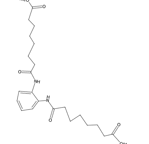 COC(=O)CCCCCCC(=O)Nc1ccccc1NC(=O)CCCCCCC(=O)OC